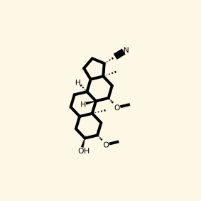 CO[C@H]1C[C@@]2(C)C(CC[C@@H]2C#N)[C@@H]2CCC3C[C@H](O)[C@@H](OC)C[C@]3(C)[C@@H]12